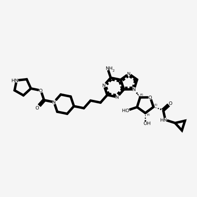 Nc1nc(CCCC2CCN(C(=O)OC3CCNC3)CC2)nc2c1ncn2[C@@H]1O[C@H](C(=O)NC2CC2)[C@H](O)C1O